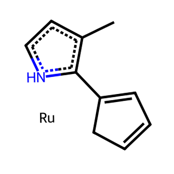 Cc1cc[nH]c1C1=CC=CC1.[Ru]